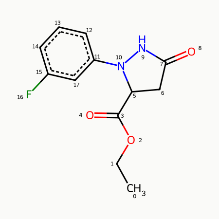 CCOC(=O)C1CC(=O)NN1c1cccc(F)c1